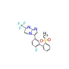 CS(=O)(=O)c1ccccc1-c1cc(-c2cnc3nc(C(F)(F)F)ccn23)ccc1F